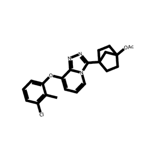 CC(=O)OC12CCC(c3nnc4c(Oc5cccc(Cl)c5C)cccn34)(CC1)C2